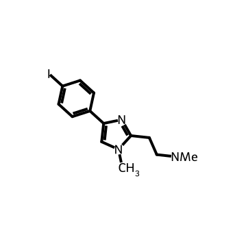 CNCCc1nc(-c2ccc(I)cc2)cn1C